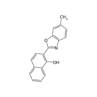 Cc1ccc2nc(-c3ccc4ccccc4c3O)oc2c1